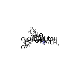 CC(C)(O)CN/C=C\C(=N)NC(=O)[C@H](CC1CCCCC1)N1CC(Oc2ccc(Cl)cc2Cl)=CC1=O